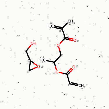 C=CC(=O)OC(C)COC(=O)C(=C)C.OCC1CO1